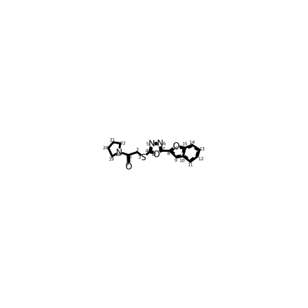 O=C(CSc1nnc(-c2cc3ccccc3o2)o1)N1CCCC1